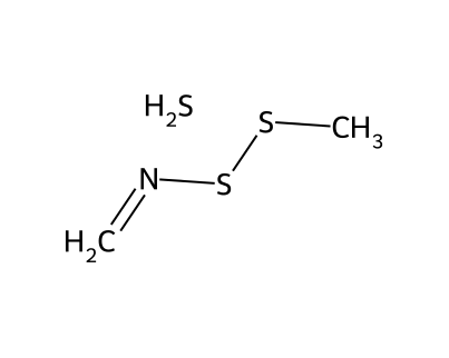 C=NSSC.S